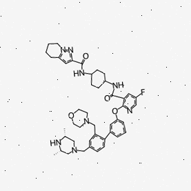 C[C@@H]1CN(Cc2ccc(-c3cccc(Oc4ncc(F)cc4C(=O)NC4CCC(NC(=O)c5cc6n(n5)CCCC6)CC4)c3)c(CN3CCOCC3)c2)C[C@H](C)N1